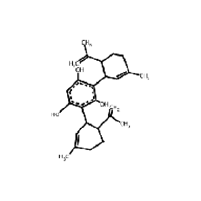 C=C(C)C1CCC(C)=CC1c1c(O)cc(O)c(C2C=C(C)CCC2C(=C)C)c1O